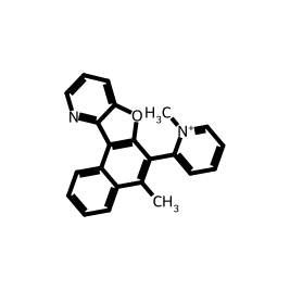 Cc1c(-c2cccc[n+]2C)c2oc3cccnc3c2c2ccccc12